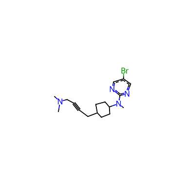 CN(C)CC#CCC1CCC(N(C)c2ncc(Br)cn2)CC1